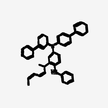 C/C=C\C=C/C(C)c1cc(N(c2ccc(-c3ccccc3)cc2)c2cccc(-c3ccccc3)c2)ccc1Nc1ccccc1